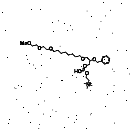 COCCOCCOCCCCCCCCOCC(COP(O)OCC[N+](C)(C)C)OCc1ccccc1